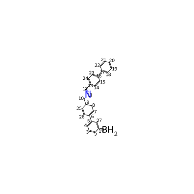 Bc1cccc(C2=CCC(C/N=C/c3ccc(-c4ccccc4)cc3)C=C2)c1